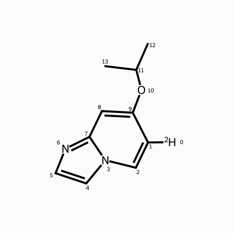 [2H]c1cn2ccnc2cc1OC(C)C